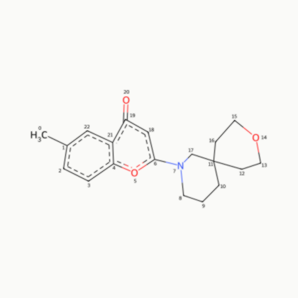 Cc1ccc2oc(N3CCCC4(CCOCC4)C3)cc(=O)c2c1